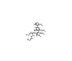 C=C(NC)c1cc(C)c(/C(C)=C(/C)CC(CC)CCCC)c(F)c1